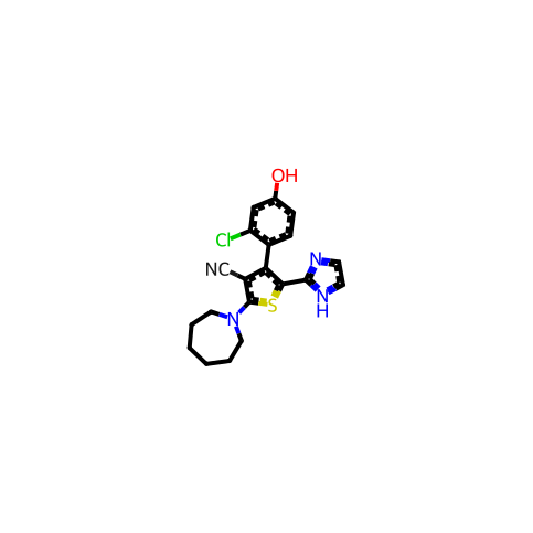 N#Cc1c(N2CCCCCC2)sc(-c2ncc[nH]2)c1-c1ccc(O)cc1Cl